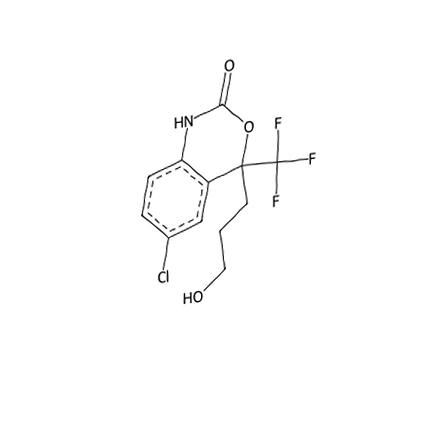 O=C1Nc2ccc(Cl)cc2C(CCCO)(C(F)(F)F)O1